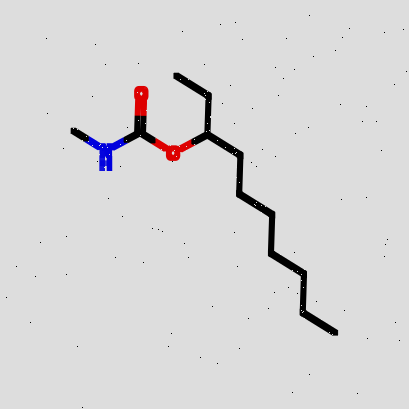 CCCCCCCC(CC)OC(=O)NC